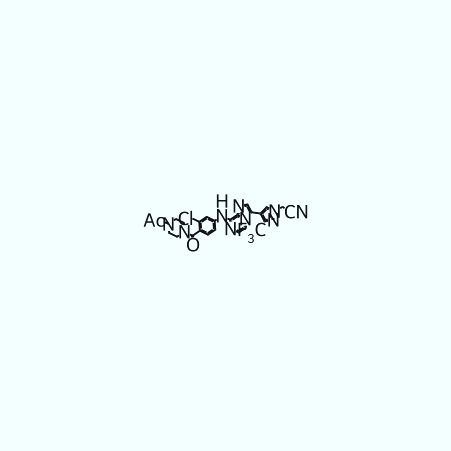 CC(=O)N1CCN(C(=O)c2ccc(Nc3nccn4c(-c5cn(CC#N)nc5C(F)(F)F)cnc34)cc2Cl)CC1